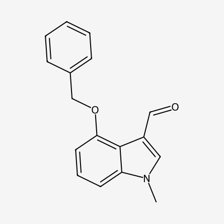 Cn1cc(C=O)c2c(OCc3ccccc3)cccc21